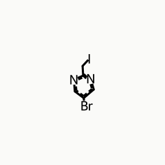 Brc1cnc(CI)nc1